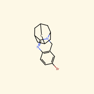 Brc1ccc2c(c1)CN1C(=N2)C2CC3CC(C2)CC1C3